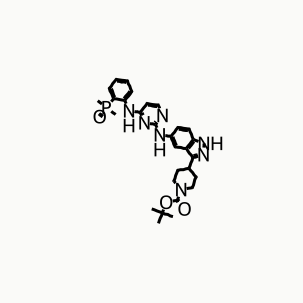 CC(C)(C)OC(=O)N1CCC(c2n[nH]c3ccc(Nc4nccc(Nc5ccccc5P(C)(C)=O)n4)cc23)CC1